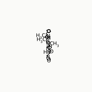 Cc1c(Cc2ccccc2)nnc(N2CCN(c3cnc(C(=O)NCCN4CCOCC4)cn3)[C@H](C)C2)c1C